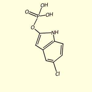 O=P(O)(O)Oc1cc2cc(Cl)ccc2[nH]1